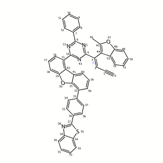 C#C/C=C(/c1nc(-c2ccccc2)nc(-c2cccc3oc4c(-c5ccc(-c6nc7ccccc7s6)cc5)cccc4c23)n1)c1c(C)oc2ccccc12